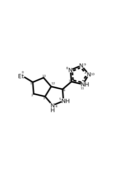 CCC1CC2NNC(c3nnn[nH]3)C2C1